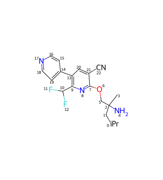 CC(C)CC(C)(N)COc1nc(C(F)F)c(-c2ccncc2)cc1C#N